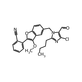 CCCCc1nc(Cl)c(C=O)n1Cc1ccc2oc(-c3ccccc3C#N)c(OC)c2c1